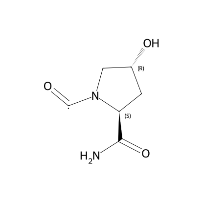 NC(=O)[C@@H]1C[C@@H](O)CN1[C]=O